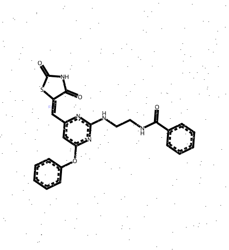 O=C1NC(=O)/C(=C\c2cc(Oc3ccccc3)nc(NCCNC(=O)c3ccccc3)n2)S1